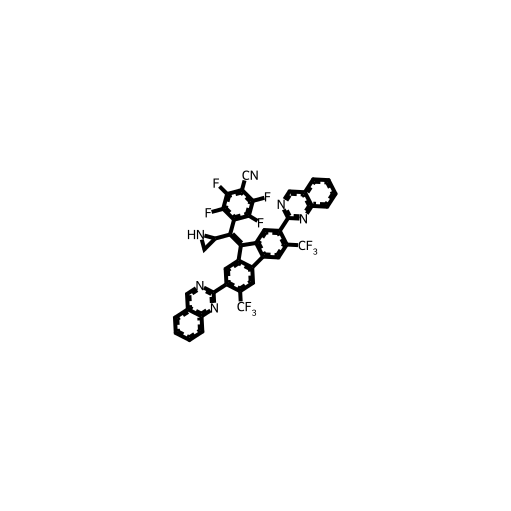 N#Cc1c(F)c(F)c(C(=C2c3cc(-c4ncc5ccccc5n4)c(C(F)(F)F)cc3-c3cc(C(F)(F)F)c(-c4ncc5ccccc5n4)cc32)C2CN2)c(F)c1F